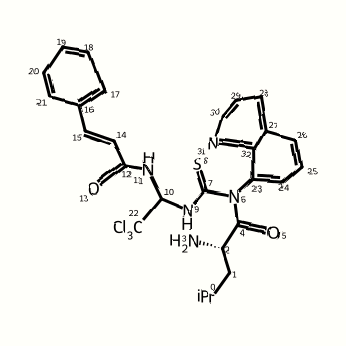 CC(C)C[C@H](N)C(=O)N(C(=S)NC(NC(=O)/C=C/c1ccccc1)C(Cl)(Cl)Cl)c1cccc2cccnc12